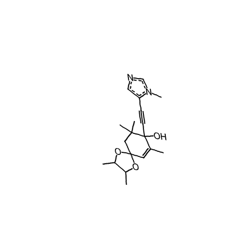 CC1=CC2(CC(C)(C)C1(O)C#Cc1cncn1C)OC(C)C(C)O2